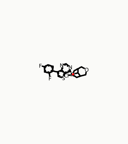 Fc1ccc(-c2csc3c(OC4C5COCC4CN(Cl)C5)ncnc23)c(F)c1